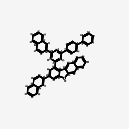 c1ccc(-c2ccc(-c3nc(-c4ccc5ccccc5c4)nc(-c4cc(-c5ccc6ccccc6c5)cc5oc6cc7ccccc7cc6c45)n3)cc2)cc1